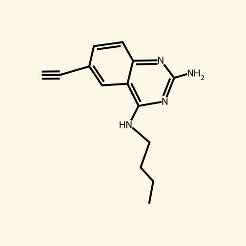 C#Cc1ccc2nc(N)nc(NCCCC)c2c1